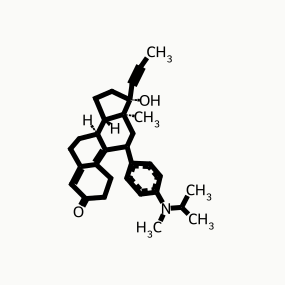 CC#C[C@]1(O)CC[C@H]2[C@@H]3CCC4=CC(=O)CCC4=C3C(c3ccc(N(C)C(C)C)cc3)C[C@@]21C